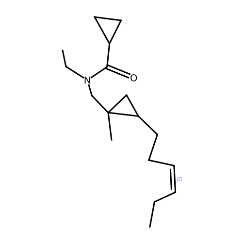 CC/C=C\CCC1CC1(C)CN(CC)C(=O)C1CC1